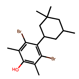 Cc1c(O)c(C)c(Br)c(C2CC(C)CC(C)(C)C2)c1Br